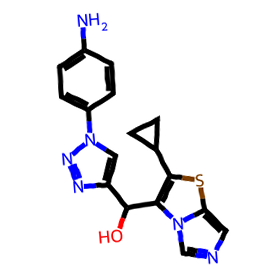 Nc1ccc(-n2cc(C(O)c3c(C4CC4)sc4cncn34)nn2)cc1